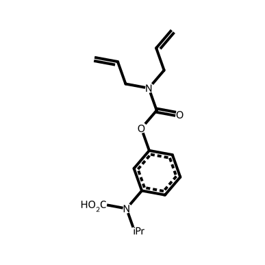 C=CCN(CC=C)C(=O)Oc1cccc(N(C(=O)O)C(C)C)c1